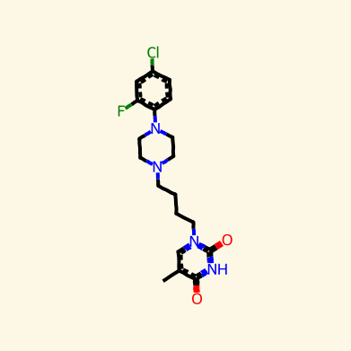 Cc1cn(CCCCN2CCN(c3ccc(Cl)cc3F)CC2)c(=O)[nH]c1=O